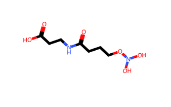 O=C(O)CCNC(=O)CCCON(O)O